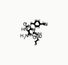 CCCS(=O)(=O)Nc1nc(N)c2[nH]c(=O)n(Cc3ccc(C#N)cc3)c2n1